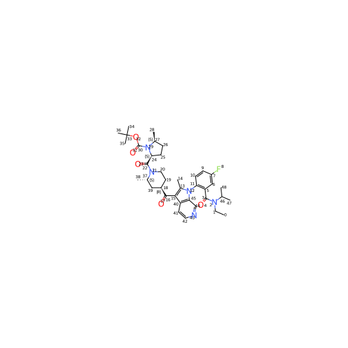 CCN(C(=O)c1cc(F)ccc1-n1c(C)c(C(=O)[C@@H]2CCN(C(=O)[C@@H]3CC[C@H](C)N3C(=O)OC(C)(C)C)[C@@H](C)C2)c2ccncc21)C(C)C